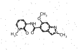 COc1cc2nn(C)cc2cc1C(=O)Nc1cccn(C)c1=O